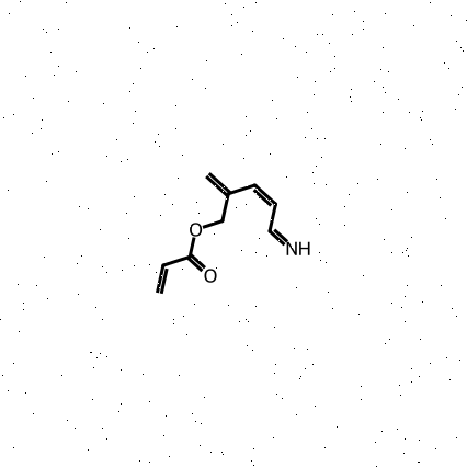 C=CC(=O)OCC(=C)/C=C\C=N